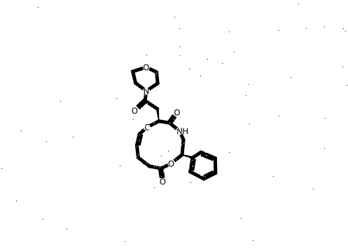 O=C1CCC=CC[C@@H](CC(=O)N2CCOCC2)C(=O)NC[C@@H](c2ccccc2)O1